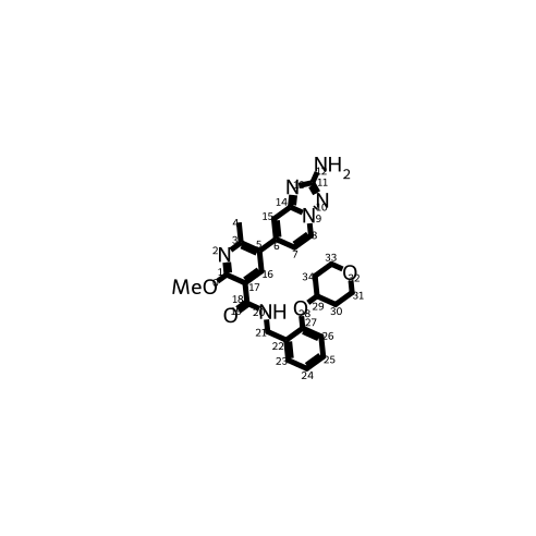 COc1nc(C)c(-c2ccn3nc(N)nc3c2)cc1C(=O)NCc1ccccc1OC1CCOCC1